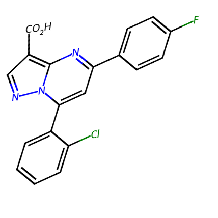 O=C(O)c1cnn2c(-c3ccccc3Cl)cc(-c3ccc(F)cc3)nc12